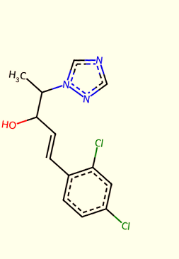 CC(C(O)C=Cc1ccc(Cl)cc1Cl)n1cncn1